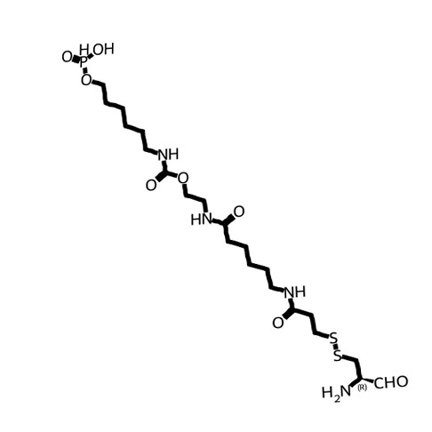 N[C@H](C=O)CSSCCC(=O)NCCCCCC(=O)NCCOC(=O)NCCCCCCO[PH](=O)O